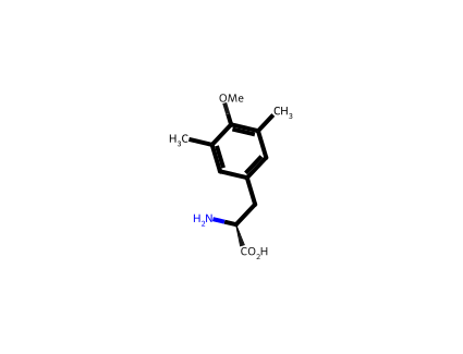 COc1c(C)cc(C[C@H](N)C(=O)O)cc1C